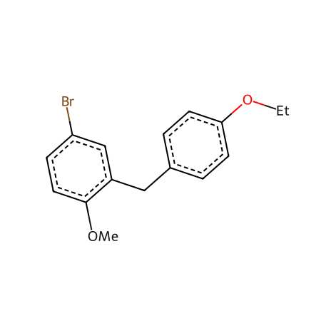 CCOc1ccc(Cc2cc(Br)ccc2OC)cc1